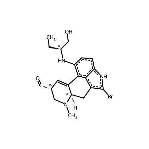 CC[C@@H](CO)Nc1ccc2[nH]c(Br)c3c2c1C1=C[C@@H](C=O)CN(C)[C@@H]1C3